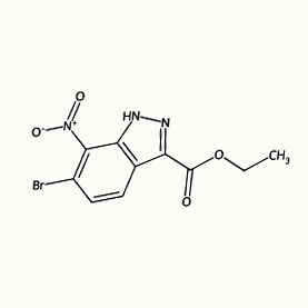 CCOC(=O)c1n[nH]c2c([N+](=O)[O-])c(Br)ccc12